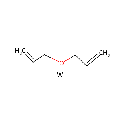 C=CCOCC=C.[W]